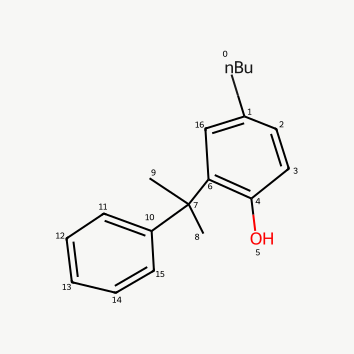 CCCCc1ccc(O)c(C(C)(C)c2ccccc2)c1